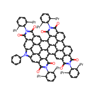 CC(C)c1cccc(C(C)C)c1-n1c(=O)c2ccc3c4ccc5c(=O)n(-c6c(C(C)C)cccc6C(C)C)c(=O)c6c5c4c4c5c(cc(c1=O)c2c35)c1c2c(=O)n(-c3c(C(C)C)cccc3C(C)C)c(=O)c3cc5c7c(c32)c2c3c(cc8c(=O)n(-c9c(C(C)C)cccc9C(C)C)c(=O)c9cc(c7c3c89)n5-c3ccccc3)c6c4c12